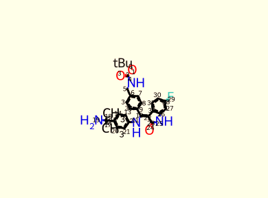 CC(C)(C)OC(=O)NCc1ccc(/C(Nc2ccc(C(C)(C)N)cc2)=C2/C(=O)Nc3cc(F)ccc32)cc1